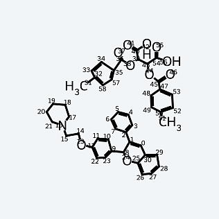 C1=C(c2ccccc2)C(c2ccc(OCCN3CCCCC3)cc2)Oc2ccccc21.Cc1ccc(C(=O)O[C@H](C(=O)O)[C@H](OC(=O)c2ccc(C)cc2)C(=O)O)cc1